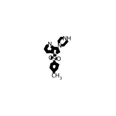 Cc1ccc(S(=O)(=O)n2cc(N3CCNCC3)c3ncccc32)cc1